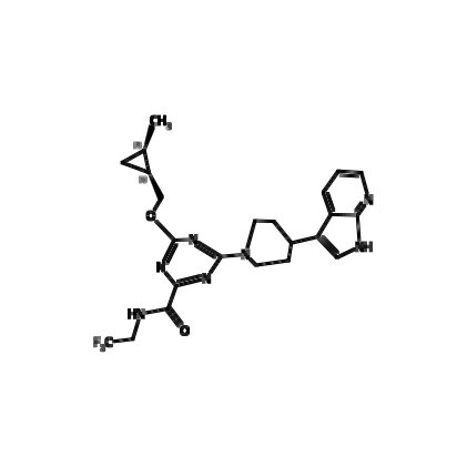 C[C@@H]1C[C@@H]1COc1nc(C(=O)NCC(F)(F)F)nc(N2CCC(c3c[nH]c4ncccc34)CC2)n1